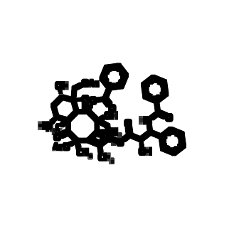 CC(=O)OC[C@@]1(O)C2[C@H](OC(=O)c3ccccc3)[C@]3(O)CC(OC(=O)[C@H](O)C(NC(=O)c4ccccc4)c4ccccc4)C(C)=C(C3(C)C)[C@@](C)(OC(C)=O)C(=O)[C@]2(C)[C@@H](O)C[C@@H]1O